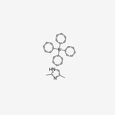 Cc1c[nH]c(C)n1.c1ccc([B-](c2ccccc2)(c2ccccc2)c2ccccc2)cc1